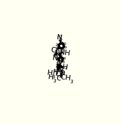 CC(C)(C)ON1[C@H]2CC[C@H]1C2=Cn1ccc2c(Nc3ccc(C#N)cc3Cl)ncnc21